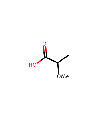 COC(C)C(=O)O